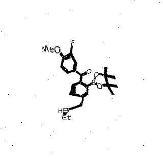 CCBCc1ccc(C(=O)c2ccc(OC)c(F)c2)c(B2OC(C)(C)C(C)(C)O2)c1